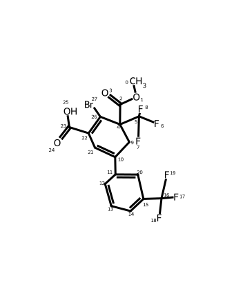 COC(=O)C1(C(F)(F)F)CC(c2cccc(C(F)(F)F)c2)=CC(C(=O)O)=C1Br